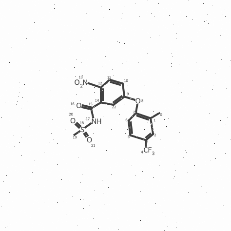 Cc1cc(C(F)(F)F)ccc1Oc1ccc([N+](=O)[O-])c(C(=O)NS(C)(=O)=O)c1